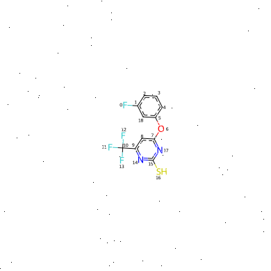 Fc1cccc(Oc2cc(C(F)(F)F)nc(S)n2)c1